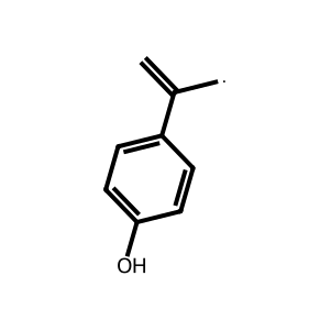 [CH2]C(=C)c1ccc(O)cc1